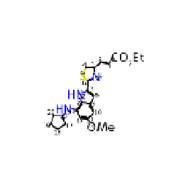 CCOC(=O)CCC1CSC(c2cc3cc(OC)cc(NC4CCCC4)c3[nH]2)=N1